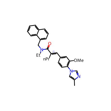 CCC/C(=C\c1ccc(-n2cnc(C)c2)c(OC)c1)C(=O)N(CC)Cc1cccc2ccccc12